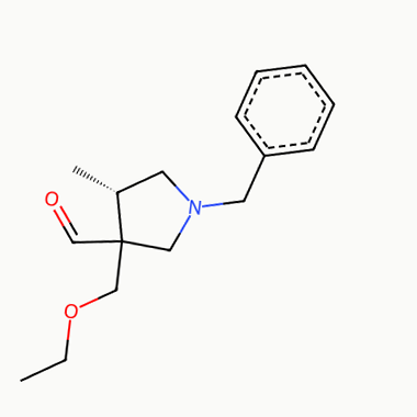 CCOCC1(C=O)CN(Cc2ccccc2)C[C@H]1C